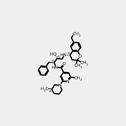 CCc1ccc2c(c1)[C@@H](NC[C@@H](O)[C@H](Cc1ccccc1)NC(=O)c1cc(C)nc(N3CCC[C@@H](C)C3)c1)CC(C)(C)O2